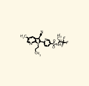 CCCn1c(-c2ccc(S(=O)(=O)N[C@@H](C)C(F)(F)F)cn2)c(C#N)c2cc(C)cnc21